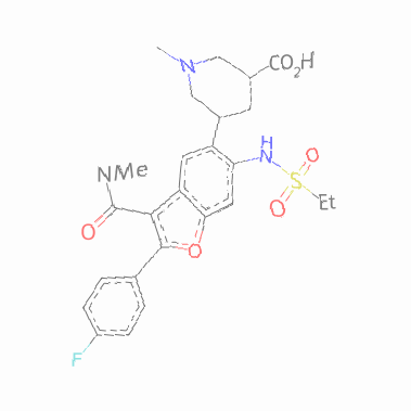 CCS(=O)(=O)Nc1cc2oc(-c3ccc(F)cc3)c(C(=O)NC)c2cc1C1CC(C(=O)O)CN(C)C1